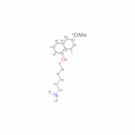 COc1ccc2c(OCCCCCCN(C)C)cccc2c1